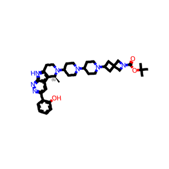 C[C@H]1c2c([nH]c3nnc(-c4ccccc4O)cc23)CCN1C1CCN(C2CCN(C3CC4(C3)CN(C(=O)OC(C)(C)C)C4)CC2)CC1